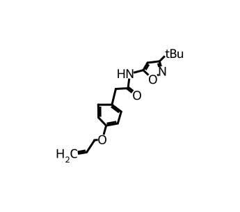 C=CCOc1ccc(CC(=O)Nc2cc(C(C)(C)C)no2)cc1